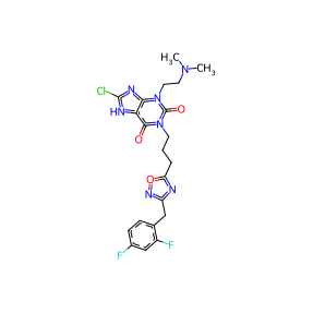 CN(C)CCn1c(=O)n(CCCc2nc(Cc3ccc(F)cc3F)no2)c(=O)c2[nH]c(Cl)nc21